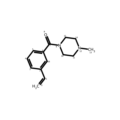 C=Cc1cccc(C(=O)N2CCN(C)CC2)c1